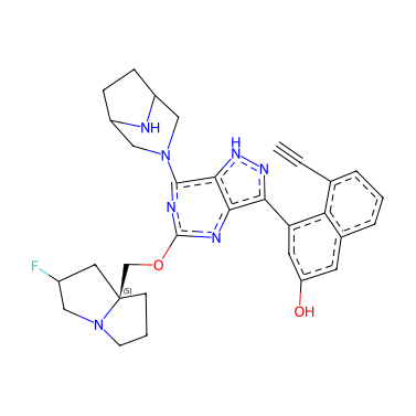 C#Cc1cccc2cc(O)cc(-c3n[nH]c4c(N5CC6CCC(C5)N6)nc(OC[C@@]56CCCN5CC(F)C6)nc34)c12